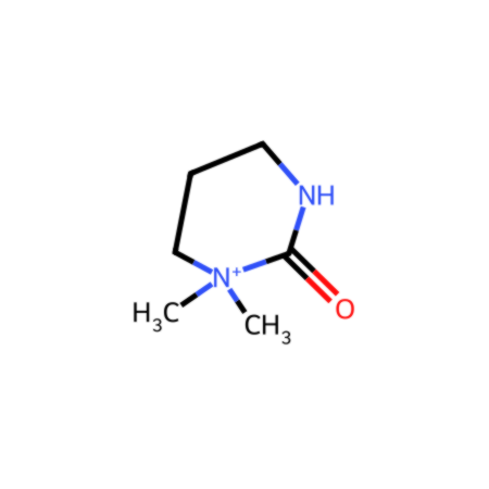 C[N+]1(C)CCCNC1=O